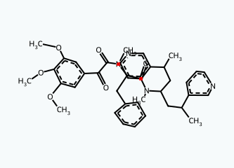 COc1cc(C(=O)C(=O)N(C)C(Cc2ccccc2)C(=O)N(C)C(CC(C)c2cccnc2)CC(C)c2cccnc2)cc(OC)c1OC